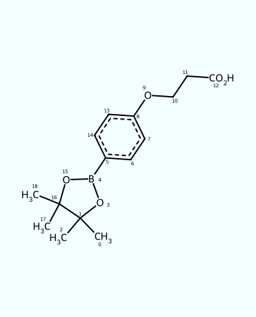 CC1(C)OB(c2ccc(OCCC(=O)O)cc2)OC1(C)C